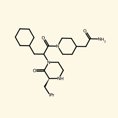 CC(C)C[C@@H]1NCCN(C(CC2CCCCC2)C(=O)N2CCC(CC(N)=O)CC2)C1=O